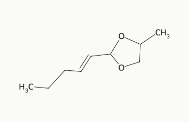 CCC/C=C/C1OCC(C)O1